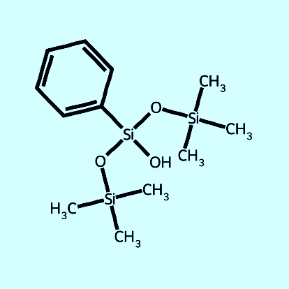 C[Si](C)(C)O[Si](O)(O[Si](C)(C)C)c1ccccc1